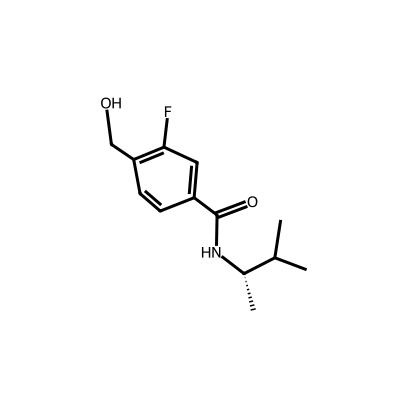 CC(C)[C@H](C)NC(=O)c1ccc(CO)c(F)c1